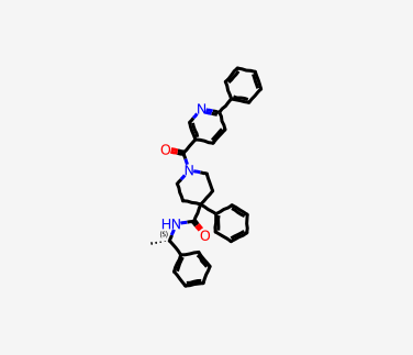 C[C@H](NC(=O)C1(c2ccccc2)CCN(C(=O)c2ccc(-c3ccccc3)nc2)CC1)c1ccccc1